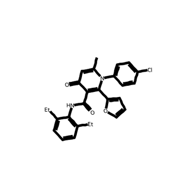 CCc1cccc(CC)c1NC(=O)c1c(-c2ccco2)n(-c2ccc(Cl)cc2)c(C)cc1=O